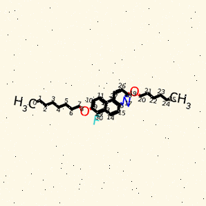 CCCCCCCCOc1ccc2c(ccc3nc(OCCCCCC)ccc32)c1F